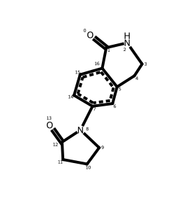 O=C1NCCc2cc(N3CCCC3=O)ccc21